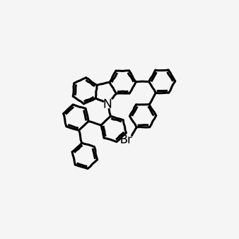 Brc1ccc(-c2ccccc2-c2ccc3c4ccccc4n(-c4ccccc4-c4ccccc4-c4ccccc4)c3c2)cc1